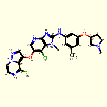 CN1CC[C@H](Oc2cc(Nc3nc4ncc(Oc5cnn6ccnc(Cl)c56)c(Cl)c4n3C)cc(C(F)(F)F)c2)C1